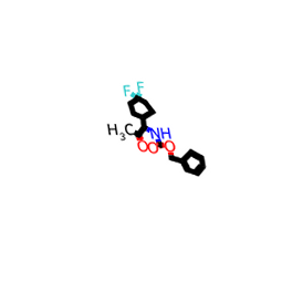 CC(=O)C(NC(=O)OCc1ccccc1)C1CCC(F)(F)CC1